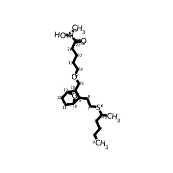 CCCCC(C)SCCC1C2CCC(O2)C1COCCCCC(=O)N(C)O